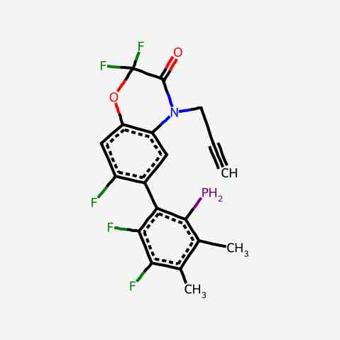 C#CCN1C(=O)C(F)(F)Oc2cc(F)c(-c3c(F)c(F)c(C)c(C)c3P)cc21